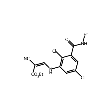 CCNC(=O)c1cc(Cl)cc(NC=C(C#N)C(=O)OCC)c1Cl